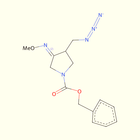 CO/N=C1\CN(C(=O)OCc2ccccc2)CC1CN=[N+]=[N-]